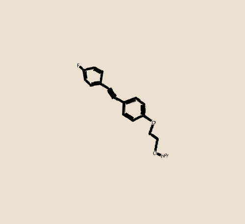 CCCOCCOc1ccc(C#Cc2ccc(F)cc2)cc1